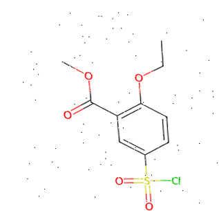 CCOc1ccc(S(=O)(=O)Cl)cc1C(=O)OC